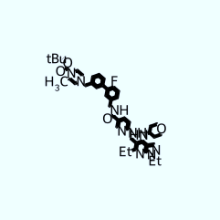 CCc1nc2c(cnn2CC)c(NC2CCOCC2)c1CNc1ccc(C(=O)NCc2ccc(F)c(-c3cccc(CN4CCN(C(=O)OC(C)(C)C)[C@@H](C)C4)c3)c2)cn1